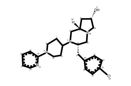 O[C@H]1C[C@H]2CN(C3CCN(c4ccccn4)CC3)[C@@H](Cc3ccc(Cl)cc3)CN2C1